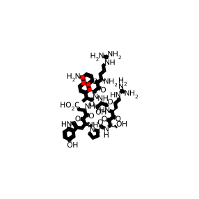 CC(C(=O)N(N[C@H](C(=O)N[C@@H](CCCNC(N)N)C(=O)C(=O)[C@H](CO)NC(=O)[C@@H]1CCCN1NC(Cc1c[nH]c2ccc(O)cc12)C(=O)C(=O)[C@@H](N)CC(=O)O)[C@@H](C)O)[C@@H](Cc1ccccc1)C(=O)C(=O)[C@@H](N)CCCNC(N)N)c1ccc(CN)cc1